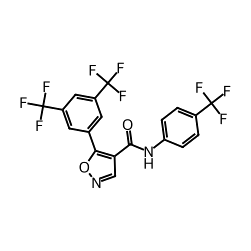 O=C(Nc1ccc(C(F)(F)F)cc1)c1cnoc1-c1cc(C(F)(F)F)cc(C(F)(F)F)c1